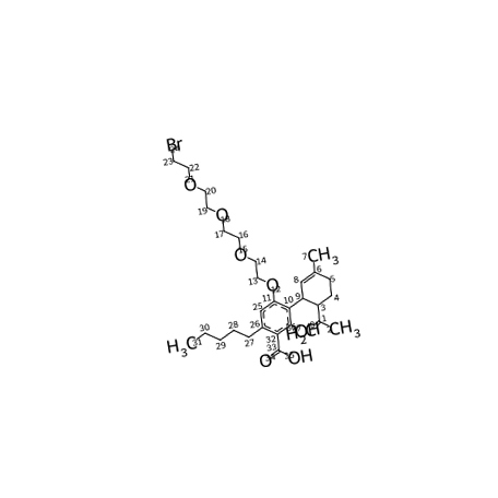 C=C(C)C1CCC(C)=CC1c1c(OCCOCCOCCOCCBr)cc(CCCCC)c(C(=O)O)c1O